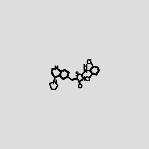 O=C1N=C(Nc2c(Cl)cccc2Cl)S/C1=C\c1ccc2nccc(N3CCCC3)c2c1